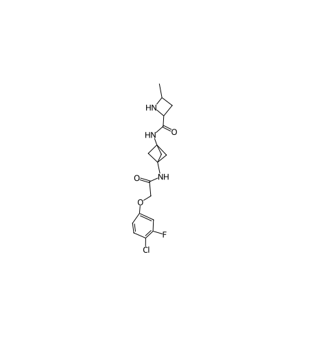 CC1CC(C(=O)NC23CC(NC(=O)COc4ccc(Cl)c(F)c4)(C2)C3)N1